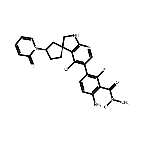 CN(C)C(=O)c1c(N)ccc(-c2cnc3c(c2Cl)[C@@]2(CC[C@@H](n4ccccc4=O)C2)CN3)c1F